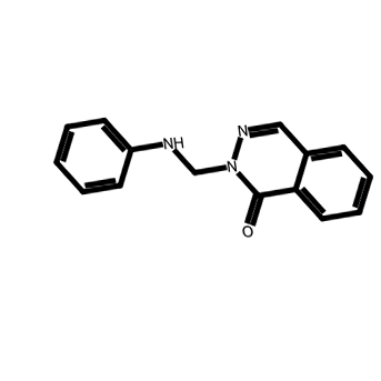 O=c1c2ccccc2cnn1CNc1ccccc1